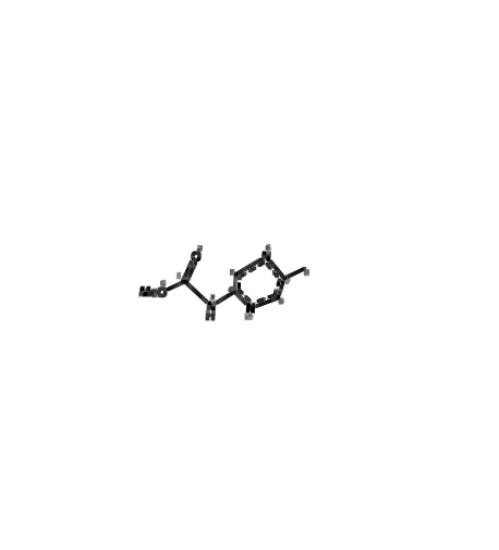 COC(=O)Nc1cnc(C)cn1